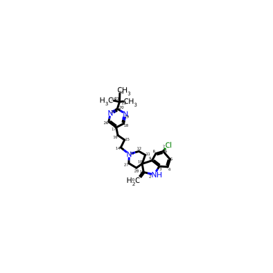 C=C1Nc2ccc(Cl)cc2C12CCN(CCCc1cnc(C(C)(C)C)nc1)CC2